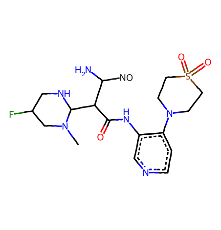 CN1CC(F)CNC1C(C(=O)Nc1cnccc1N1CCS(=O)(=O)CC1)C(N)N=O